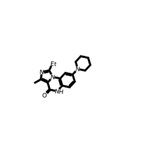 CCc1nc(C)c2c(=O)[nH]c3ccc(N4CCCCC4)cc3n12